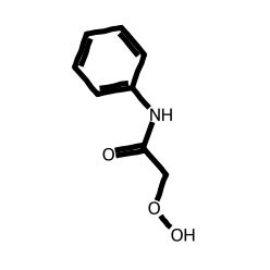 O=C(COO)Nc1ccccc1